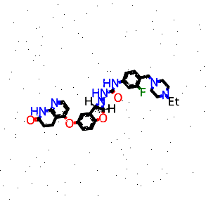 CCN1CCN(Cc2ccc(NC(=O)NN3[C@@H]4c5cc(Oc6ccnc7c6CCC(=O)N7)ccc5O[C@@H]43)cc2F)CC1